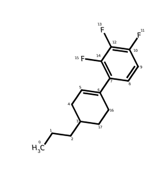 CCCC1CC=C(c2ccc(F)c(F)c2F)CC1